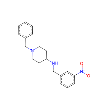 O=[N+]([O-])c1cccc(CNC2CCN(Cc3ccccc3)CC2)c1